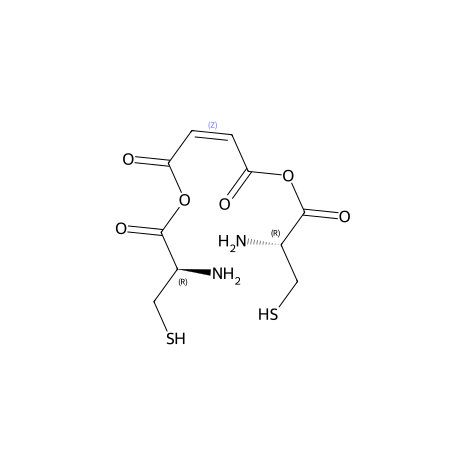 N[C@@H](CS)C(=O)OC(=O)/C=C\C(=O)OC(=O)[C@@H](N)CS